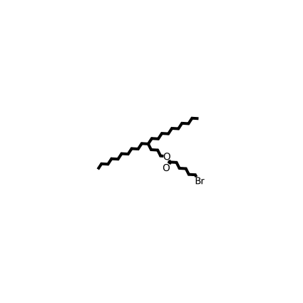 CCCCCCCCCCC(CCCCCCCCCC)CCCOC(=O)CCCCCBr